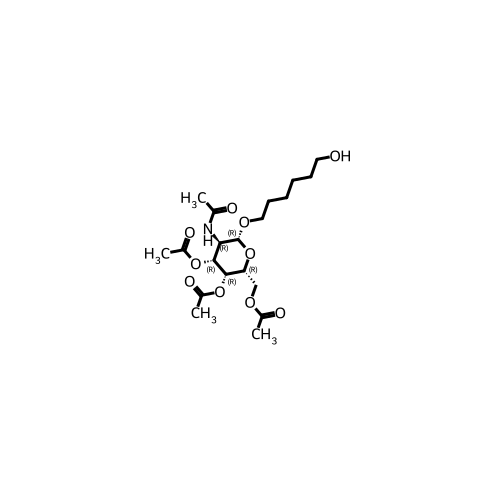 CC(=O)N[C@H]1[C@H](OCCCCCCO)O[C@H](COC(C)=O)[C@H](OC(C)=O)[C@@H]1OC(C)=O